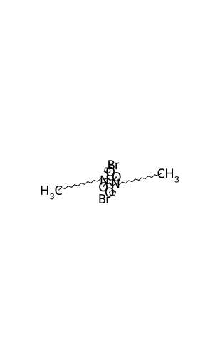 CCCCCCCCCCCCCCN1C(=O)C2=C(c3ccc(Br)o3)N(CCCCCCCCCCCCCC)C(=O)C2=C1c1ccc(Br)o1